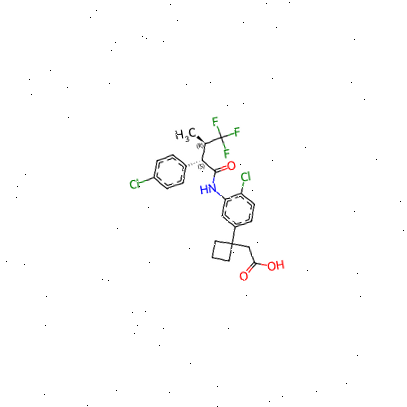 C[C@H]([C@H](C(=O)Nc1cc(C2(CC(=O)O)CCC2)ccc1Cl)c1ccc(Cl)cc1)C(F)(F)F